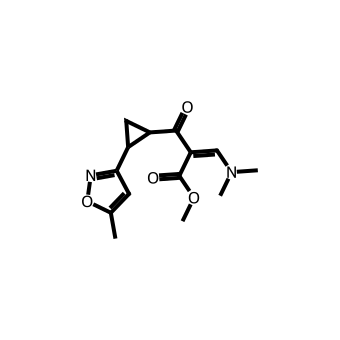 COC(=O)C(=CN(C)C)C(=O)C1CC1c1cc(C)on1